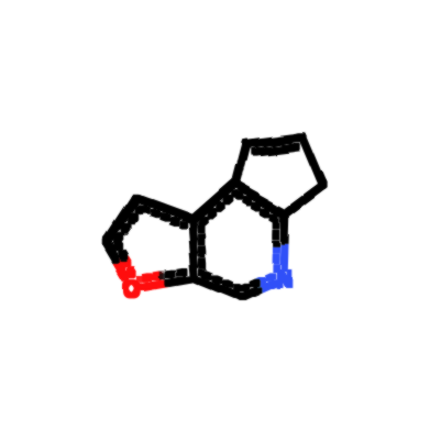 C1=Cc2c(ncc3occc23)C1